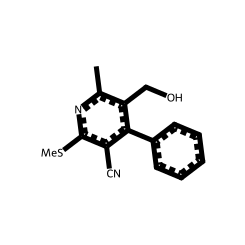 CSc1nc(C)c(CO)c(-c2ccccc2)c1C#N